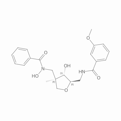 COc1cccc(C(=O)NC[C@H]2OC[C@@](C)(CN(O)C(=O)c3ccccc3)[C@@H]2O)c1